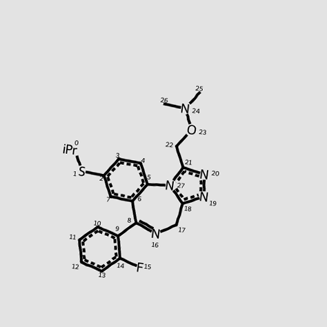 CC(C)Sc1ccc2c(c1)C(c1ccccc1F)=NCc1nnc(CON(C)C)n1-2